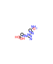 CN(C)c1cc(NCc2cccc(B(O)O)c2)nc(-c2ncc3c(C(N)=O)cccn23)n1